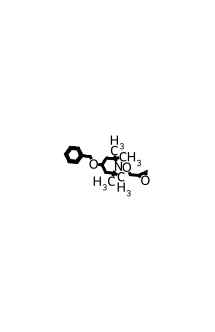 CC1(C)CC(OCc2ccccc2)CC(C)(C)N1OCC1CO1